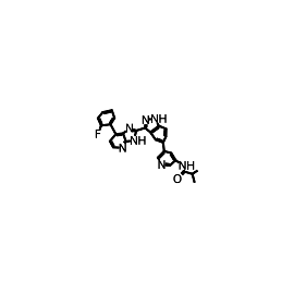 CC(C)C(=O)Nc1cncc(-c2ccc3[nH]nc(-c4nc5c(-c6ccccc6F)ccnc5[nH]4)c3c2)c1